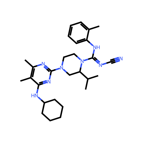 Cc1ccccc1N/C(=N\C#N)N1CCN(c2nc(C)c(C)c(NC3CCCCC3)n2)CC1C(C)C